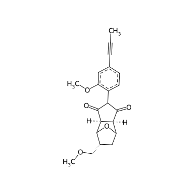 CC#Cc1ccc(C2C(=O)[C@@H]3C4OC(C[C@@H]4COC)[C@@H]3C2=O)c(OC)c1